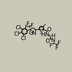 Cc1cc(C2=NO[C@@](c3cc(Cl)c(Cl)c(Cl)c3)(C(F)(F)F)C2)sc1C(=O)NCC(=O)NC(F)C(F)F